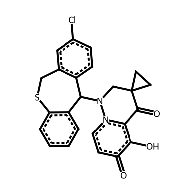 O=C1c2c(O)c(=O)ccn2N(C2c3ccc(Cl)cc3CSc3ccccc32)CC12CC2